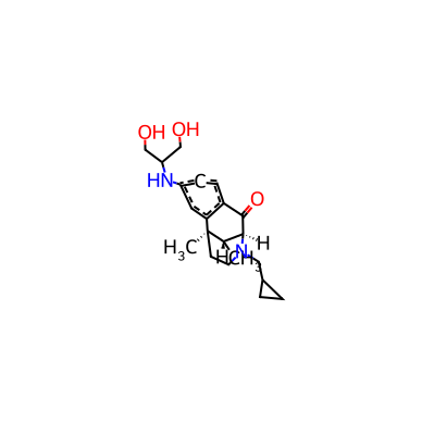 C[C@H]1[C@H]2C(=O)c3ccc(NC(CO)CO)cc3[C@]1(C)CCN2CC1CC1